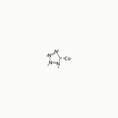 C1N=NN=N1.[Co]